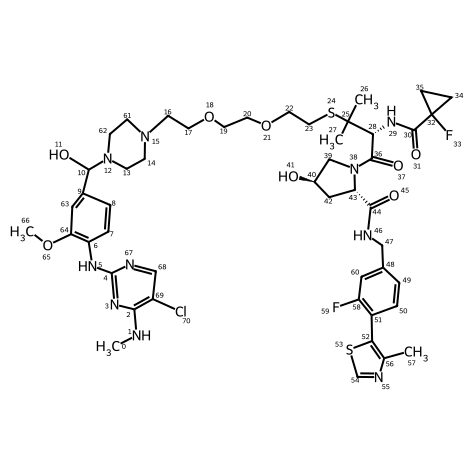 CNc1nc(Nc2ccc(C(O)N3CCN(CCOCCOCCSC(C)(C)[C@H](NC(=O)C4(F)CC4)C(=O)N4C[C@H](O)C[C@H]4C(=O)NCc4ccc(-c5scnc5C)c(F)c4)CC3)cc2OC)ncc1Cl